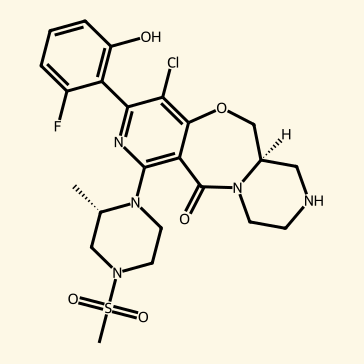 C[C@H]1CN(S(C)(=O)=O)CCN1c1nc(-c2c(O)cccc2F)c(Cl)c2c1C(=O)N1CCNC[C@@H]1CO2